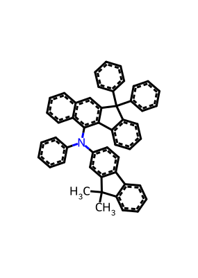 CC1(C)c2ccccc2-c2ccc(N(c3ccccc3)c3c4c(cc5ccccc35)C(c3ccccc3)(c3ccccc3)c3ccccc3-4)cc21